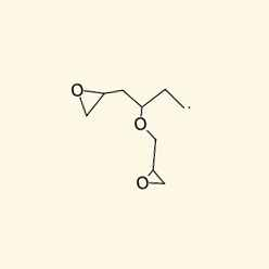 [CH2]CC(CC1CO1)OCC1CO1